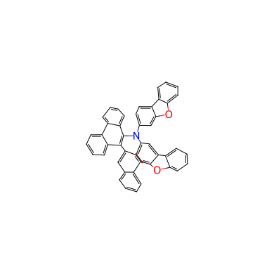 c1ccc2cc(-c3c(N(c4ccc5c(c4)oc4ccccc45)c4ccc5oc6ccccc6c5c4)c4ccccc4c4ccccc34)ccc2c1